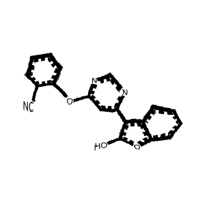 N#Cc1ccccc1Oc1cc(-c2c(O)oc3ccccc23)ncn1